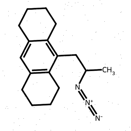 CC(Cc1c2c(cc3c1CCCC3)CCCC2)N=[N+]=[N-]